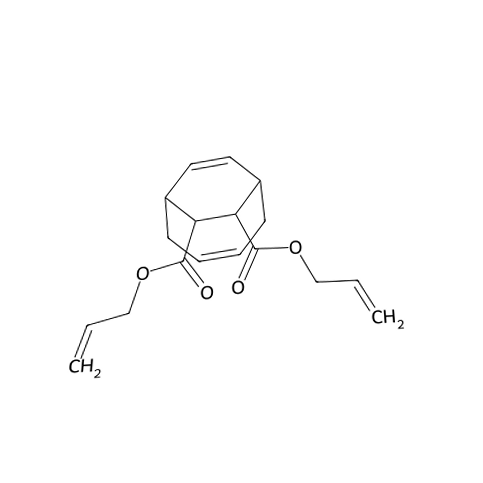 C=CCOC(=O)C1C2C=CC(CC=CC2)C1C(=O)OCC=C